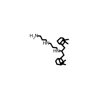 CC1(C)C2CCC(CC2)C1CC(CC1C2CCC(CC2)C1(C)C)NCCCNCCCN